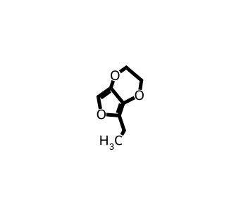 CCc1occ2c1OCCO2